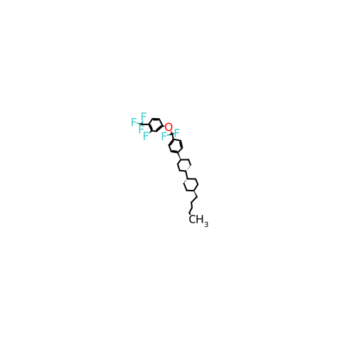 CCCCC[C@H]1CC[C@H]([C@H]2CC[C@H](c3ccc(C(F)(F)Oc4ccc(C(F)(F)F)c(F)c4)cc3)CC2)CC1